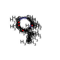 CO[C@H]1C[C@@H]2CC[C@@H](C)[C@@](O)(O2)C(=O)C(=O)N2CCCC[C@H]2C(=O)O[C@H]([C@H](C)C[C@@H]2CC[C@@H](OC(=O)C3(C)COC(C)(C)OC3)[C@H](O[Si](C)(C)C)C2)CC(=O)[C@H](C)/C=C(\C)[C@@H](O[Si](C)(C)C)[C@@H](OC)C(=O)[C@H](C)C[C@H](C)/C=C/C=C/C=C/1C